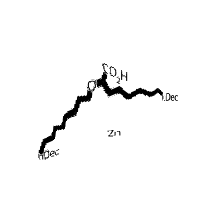 CCCCCCCCCCCCCCCCCCOC(CCCCCCCCCCCCCCCC)C(=O)O.[Zn]